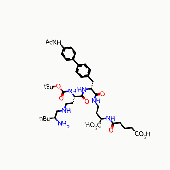 CCCC[C@H](N)CNCC[C@H](NC(=O)OC(C)(C)C)C(=O)N[C@H](Cc1ccc(-c2ccc(NC(C)=O)cc2)cc1)C(=O)NCC[C@@H](NC(=O)CCCC(=O)O)C(=O)O